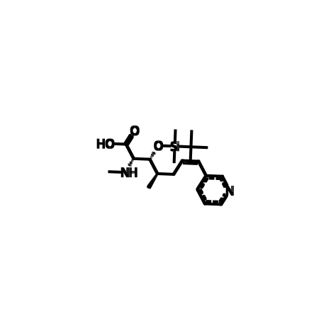 CN[C@H](C(=O)O)[C@H](O[Si](C)(C)C(C)(C)C)[C@H](C)CC=Cc1cccnc1